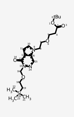 CC(C)(C)OC(=O)CCOCCn1ccc2c(=O)n(COCC[Si](C)(C)C)ncc21